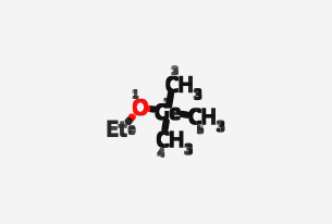 CC[O][Ge]([CH3])([CH3])[CH3]